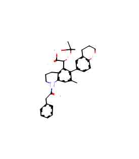 Cc1cc2c(c(C(OC(C)(C)C)C(=O)O)c1-c1ccc3c(c1)CCCO3)CCCN2C(=O)Cc1ccccc1